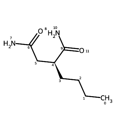 CCCC[C@@H](CC(N)=O)C(N)=O